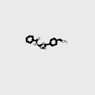 C=Cc1ccc(-c2nnc(NC(=O)c3ccccc3)s2)cc1